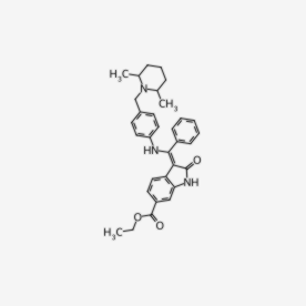 CCOC(=O)c1ccc2c(c1)NC(=O)C2=C(Nc1ccc(CN2C(C)CCCC2C)cc1)c1ccccc1